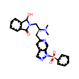 CN(C)[C@@H](Cc1cc2cnn(S(=O)(=O)c3ccccc3)c2cn1)CN1C(=O)c2ccccc2C1O